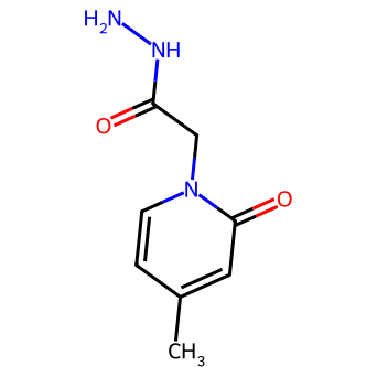 Cc1ccn(CC(=O)NN)c(=O)c1